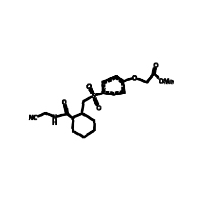 COC(=O)COc1ccc(S(=O)(=O)CC2CCCCC2C(=O)NCC#N)cc1